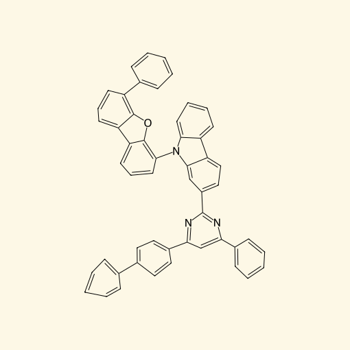 c1ccc(-c2ccc(-c3cc(-c4ccccc4)nc(-c4ccc5c6ccccc6n(-c6cccc7c6oc6c(-c8ccccc8)cccc67)c5c4)n3)cc2)cc1